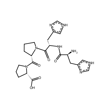 N[C@@H](Cc1c[nH]cn1)C(=O)N[C@@H](Cc1c[nH]cn1)C(=O)N1CCC[C@H]1C(=O)N1CCC[C@H]1C(=O)O